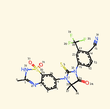 CC1=Nc2ccc(N3C(=S)N(c4ccc(C#N)c(C(F)(F)F)c4)C(=O)C3(C)C)cc2S(=O)(=O)N1